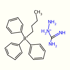 CCCC[B-](c1ccccc1)(c1ccccc1)c1ccccc1.N=C(N)[NH2+]N